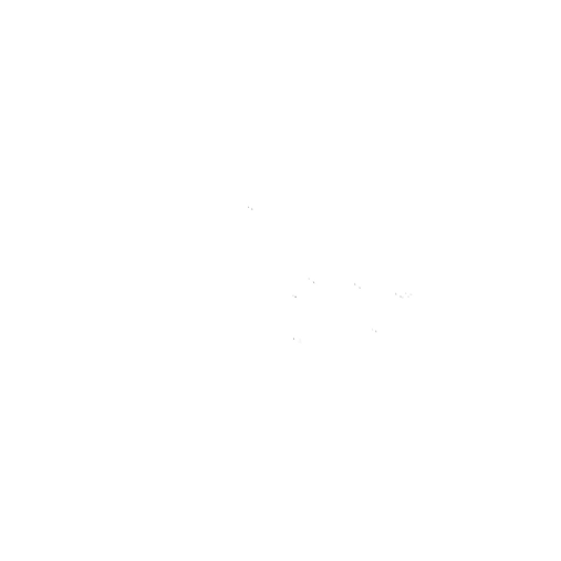 CCN(CC)CCCn1nc(Nc2c(C)cccc2C)c2cnc(NC)nc21